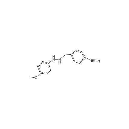 COc1ccc(NNCc2ccc(C#N)cc2)cc1